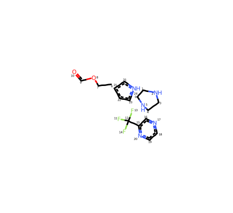 C1CNCCN1.CCOC=O.FC(F)(F)c1cnccn1.c1cc[nH]c1